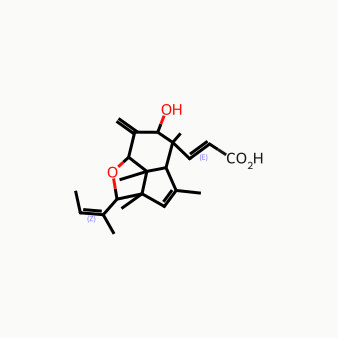 C=C1C(O)C(C)(/C=C/C(=O)O)C2C(C)=CC3(C)C(/C(C)=C\C)OC1C23C